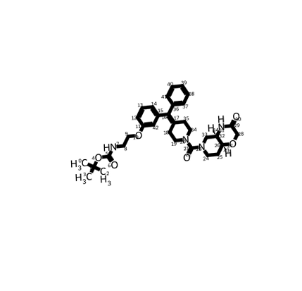 CC(C)(C)OC(=O)NCCOc1cccc(C(=C2CCN(C(=O)N3CC[C@@H]4OCC(=O)N[C@@H]4C3)CC2)c2ccccc2)c1